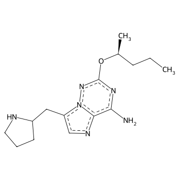 CCC[C@H](C)Oc1nc(N)c2ncc(CC3CCCN3)n2n1